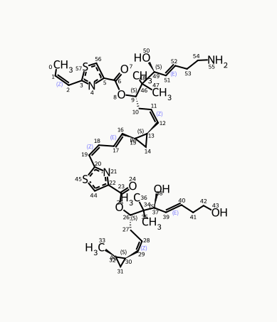 C/C=C\c1nc(C(=O)O[C@@H](C/C=C\[C@H]2C[C@H]2/C=C/C=C\c2nc(C(=O)O[C@@H](C/C=C\[C@H]3C[C@H]3C)C(C)(C)[C@@H](O)/C=C/CCO)cs2)C(C)(C)[C@@H](O)/C=C/CCN)cs1